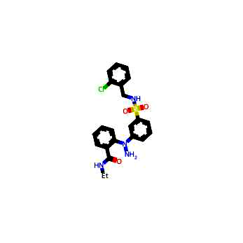 CCNC(=O)c1c[c]ccc1N(N)c1cccc(S(=O)(=O)NCc2ccccc2Cl)c1